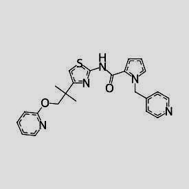 CC(C)(COc1ccccn1)c1csc(NC(=O)c2cccn2Cc2ccncc2)n1